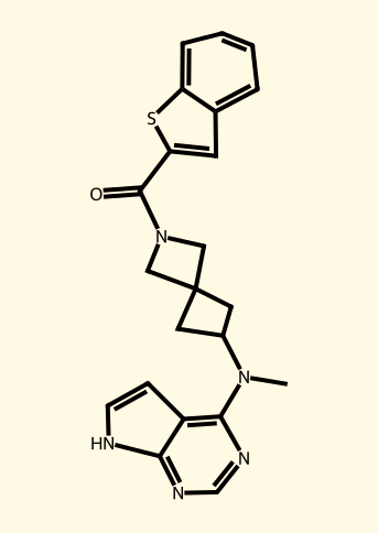 CN(c1ncnc2[nH]ccc12)C1CC2(C1)CN(C(=O)c1cc3ccccc3s1)C2